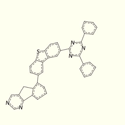 c1ccc(-c2nc(-c3ccccc3)nc(-c3ccc4sc5ccc(-c6cccc7c6Cc6cncnc6-7)cc5c4c3)n2)cc1